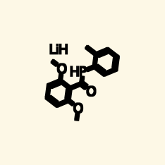 COc1cccc(OC)c1C(=O)Pc1ccccc1C.[LiH]